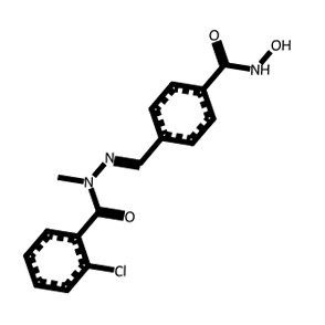 CN(N=Cc1ccc(C(=O)NO)cc1)C(=O)c1ccccc1Cl